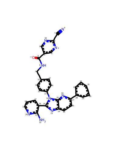 N#Cc1ncc(C(=O)NCc2ccc(-n3c(-c4cccnc4N)nc4ccc(-c5ccccc5)nc43)cc2)cn1